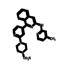 Cc1ccnc(Nc2cc3ccccc3c(-c3ccnc(N4CCN(C(=O)O)CC4)c3)n2)c1